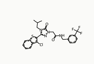 CC(C)Cn1c(-c2sc3ccccc3c2Cl)nn(CC(=O)NCc2cccc(C(F)(F)F)c2)c1=O